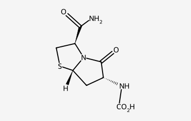 NC(=O)[C@@H]1CS[C@H]2C[C@@H](NC(=O)O)C(=O)N21